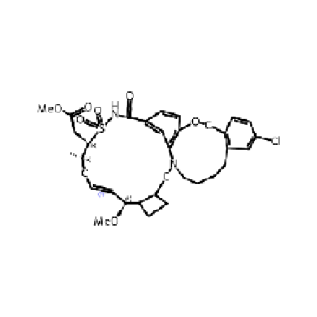 COC(=O)C[C@@H]1[C@@H](C)C/C=C/[C@H](OC)C2CCC2CN2CCCCc3cc(Cl)ccc3COc3ccc(cc32)C(=O)NS1(=O)=O